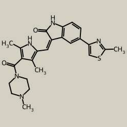 Cc1nc(-c2ccc3c(c2)/C(=C/c2[nH]c(C)c(C(=O)N4CCN(C)CC4)c2C)C(=O)N3)cs1